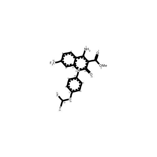 COC(=O)c1c(N)c2ccc(C(F)(F)F)cc2n(-c2ccc(OC(F)F)cc2)c1=O